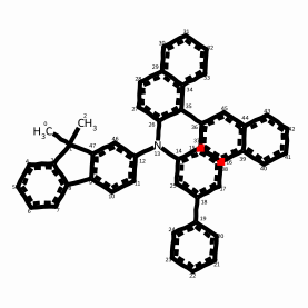 CC1(C)c2ccccc2-c2ccc(N(c3cccc(-c4ccccc4)c3)c3ccc4ccccc4c3-c3ccc4ccccc4c3)cc21